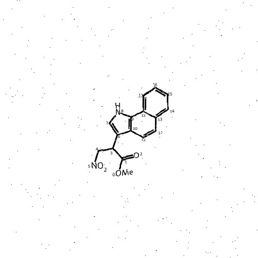 COC(=O)C(C[N+](=O)[O-])c1c[nH]c2c1ccc1ccccc12